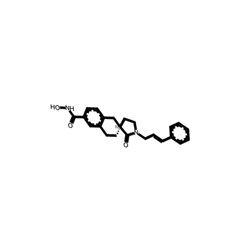 O=C(NO)c1ccc2c(c1)CC[C@@]1(CCN(CC=Cc3ccccc3)C1=O)C2